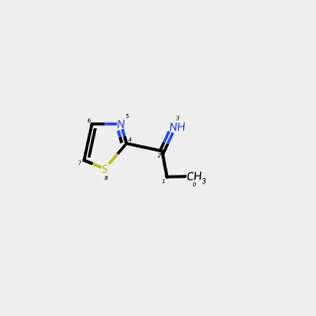 CCC(=N)c1nccs1